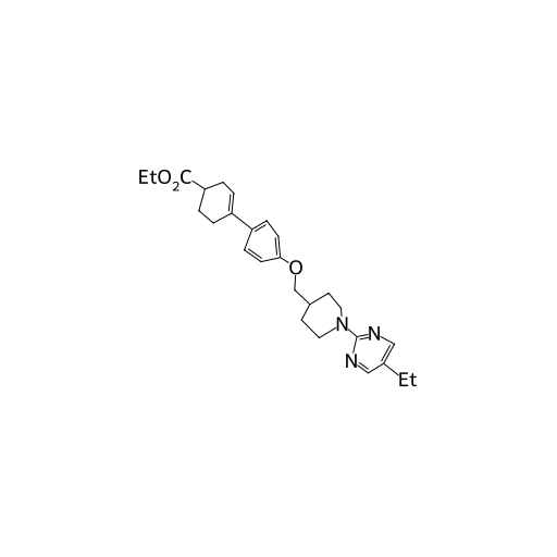 CCOC(=O)C1CC=C(c2ccc(OCC3CCN(c4ncc(CC)cn4)CC3)cc2)CC1